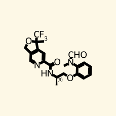 C[C@H](COc1ccccc1N(C)C=O)NC(=O)c1cc2c(cn1)COC2(C)C(F)(F)F